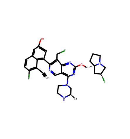 C#Cc1c(F)ccc2cc(O)cc(-c3ncc4c(N5CCN[C@H](CC)C5)nc(OC[C@]56CCCN5C[C@@H](F)C6)nc4c3CF)c12